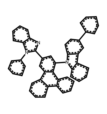 c1ccc(-c2ccc3c(c2)c2ccccc2n3-c2cc(-c3nc4ccccc4n3-c3ccccc3)cc3c4ccccc4c4ccccc4c23)cc1